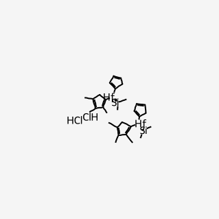 CC1=C(C)C(C)=[C]([Hf]([C]2=CC=CC2)=[Si](C)C)C1.CC1=C(C)C(C)=[C]([Hf]([C]2=CC=CC2)=[Si](C)C)C1.Cl.Cl